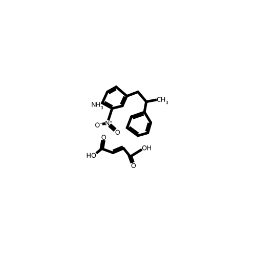 CC(Cc1cccc([N+](=O)[O-])c1)c1ccccc1.N.O=C(O)C=CC(=O)O